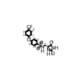 O=C1NC(=O)[C@H](CNS(=O)(=O)c2ccc(Oc3ccc(C(F)(F)F)cc3)cc2)N1